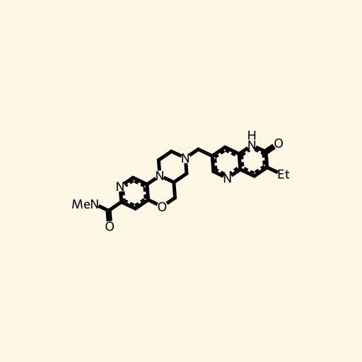 CCc1cc2ncc(CN3CCN4c5cnc(C(=O)NC)cc5OCC4C3)cc2[nH]c1=O